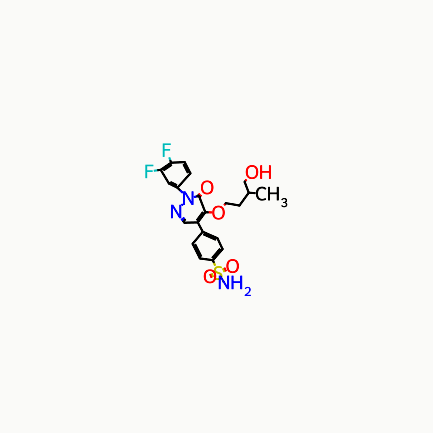 CC(CO)CCOc1c(-c2ccc(S(N)(=O)=O)cc2)cnn(-c2ccc(F)c(F)c2)c1=O